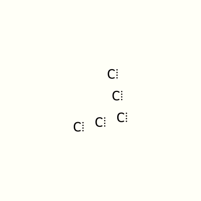 [C].[C].[C].[C].[C]